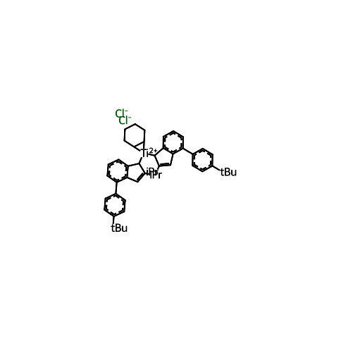 CC(C)C1=Cc2c(-c3ccc(C(C)(C)C)cc3)cccc2[CH]1[Ti+2]1([CH]2C(C(C)C)=Cc3c(-c4ccc(C(C)(C)C)cc4)cccc32)[CH]2CCCC[CH]21.[Cl-].[Cl-]